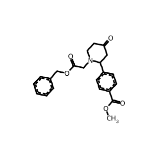 COC(=O)c1ccc(C2CC(=O)CCN2CC(=O)OCc2ccccc2)cc1